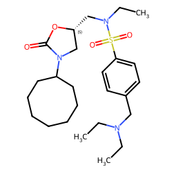 CCN(CC)Cc1ccc(S(=O)(=O)N(CC)C[C@@H]2CN(C3CCCCCCC3)C(=O)O2)cc1